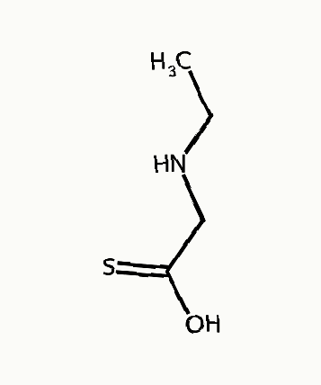 CCNCC(O)=S